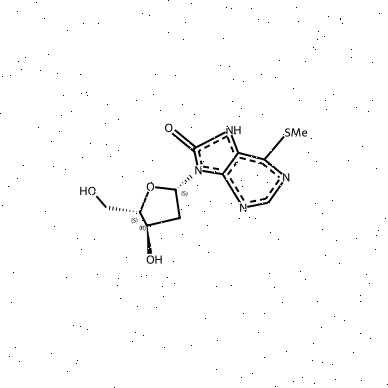 CSc1ncnc2c1[nH]c(=O)n2[C@@H]1C[C@@H](O)[C@H](CO)O1